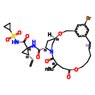 C=C[C@@H]1C[C@]1(NC(=O)[C@@H]1C[C@@H]2CN1C(=O)[C@H](CCCC)CC(=O)OCCC/C=C/c1cc(Br)cc(c1)CO2)C(=O)NS(=O)(=O)C1CC1